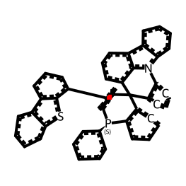 c1ccc([P@]2c3ccccc3C3(c4ccccc4-n4c5ccccc5c5cccc3c54)c3ccc(-c4cccc5c4sc4ccccc45)cc32)cc1